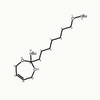 CCCCOCCCCCCCC1(CCCC)OCC=CCO1